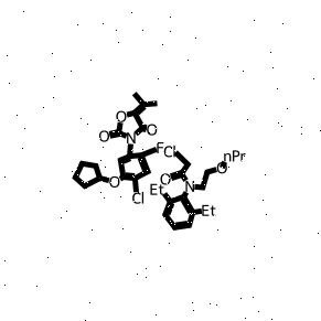 CC(C)=C1OC(=O)N(c2cc(OC3CCCC3)c(Cl)cc2F)C1=O.CCCOCCN(C(=O)CCl)c1c(CC)cccc1CC